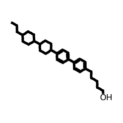 CCCC1CCC(C2CCC(c3ccc(-c4ccc(CCCCCO)cc4)cc3)CC2)CC1